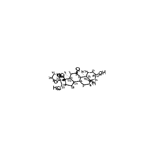 C[C@]12CC(=O)C3C(CC[C@@H]4C[C@H](O)CC[C@]34C)C1CC[C@]2(O)C1(CO)OCCO1